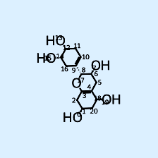 O[C@H]1CC2=C(C[C@H](O)[C@@H](C3=CC[C@@H](O)[C@@H](O)C3)O2)[C@@H](O)C1